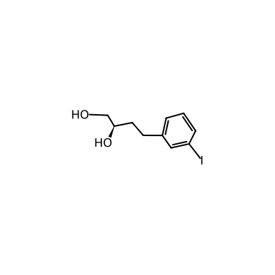 OC[C@H](O)CCc1cccc(I)c1